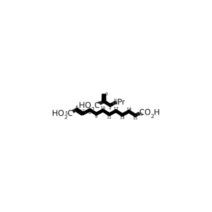 C=C(CC(C)C)C(=O)O.O=C(O)/C=C/CCCCCCCCC(=O)O